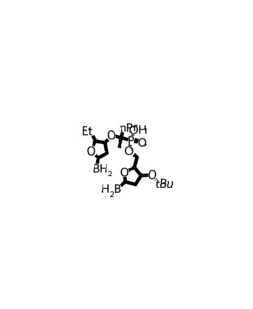 BC1CC(OC(C)(C)C)C(COP(=O)(O)C(C)(CCC)OC2CC(B)OC2CC)O1